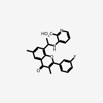 Cc1cc(C(C)Nc2cccnc2C(=O)O)c2oc(-c3cccc(F)c3)c(C)c(=O)c2c1